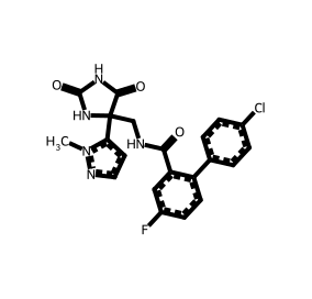 Cn1nccc1C1(CNC(=O)c2cc(F)ccc2-c2ccc(Cl)cc2)NC(=O)NC1=O